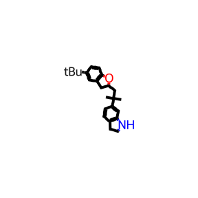 CC(C)(C)c1ccc2c(c1)CC(CC(C)(C)c1ccc3c(c1)NCC3)O2